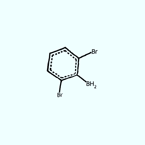 Bc1c(Br)cccc1Br